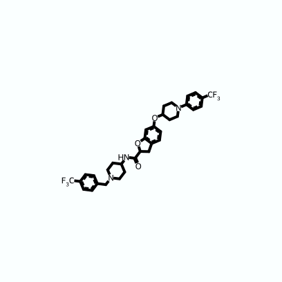 O=C(NC1CCN(Cc2ccc(C(F)(F)F)cc2)CC1)C1Cc2ccc(OC3CCN(c4ccc(C(F)(F)F)cc4)CC3)cc2O1